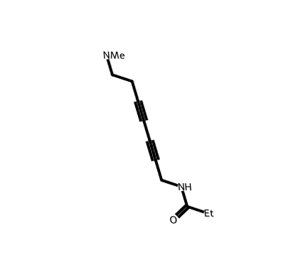 CCC(=O)NCC#CC#CCCNC